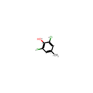 Cc1cc(F)c(O)c(Cl)c1